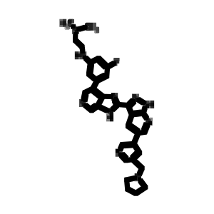 CN(C)CCNc1cc(F)cc(-c2cncc3[nH]c(-c4n[nH]c5ncc(-c6cncc(CN7CCCC7)c6)cc45)nc23)c1